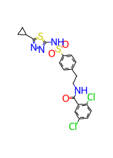 O=C(NCCc1ccc(S(=O)(=O)Nc2nnc(C3CC3)s2)cc1)c1cc(Cl)ccc1Cl